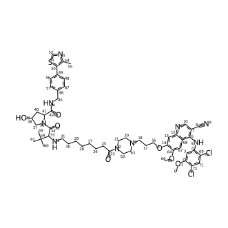 COc1cc(Nc2c(C#N)cnc3cc(OCCCN4CCN(C(=O)CCCCCCCNC(C(=O)N5CC(O)CC5C(=O)NCc5ccc(-c6scnc6C)cc5)C(C)(C)C)CC4)c(OC)cc23)c(Cl)cc1Cl